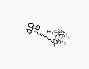 CC(=O)Oc1c(C)c(C)c2c(c1C)CCC(C)(CC(=O)OCCCCCCCCCCC[P+](c1ccccc1)(c1ccccc1)c1ccccc1)O2